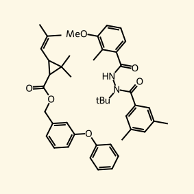 CC(C)=CC1C(C(=O)OCc2cccc(Oc3ccccc3)c2)C1(C)C.COc1cccc(C(=O)NN(C(=O)c2cc(C)cc(C)c2)C(C)(C)C)c1C